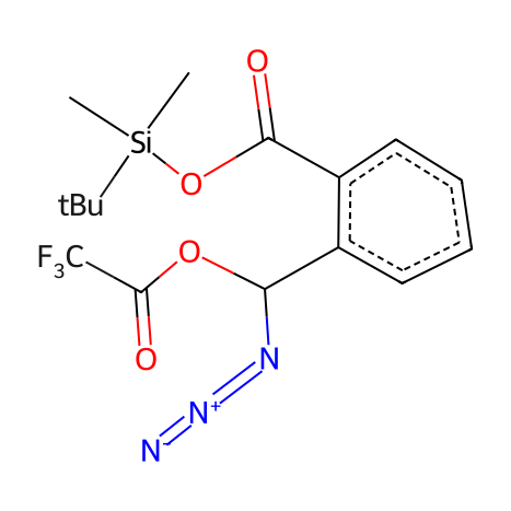 CC(C)(C)[Si](C)(C)OC(=O)c1ccccc1C(N=[N+]=[N-])OC(=O)C(F)(F)F